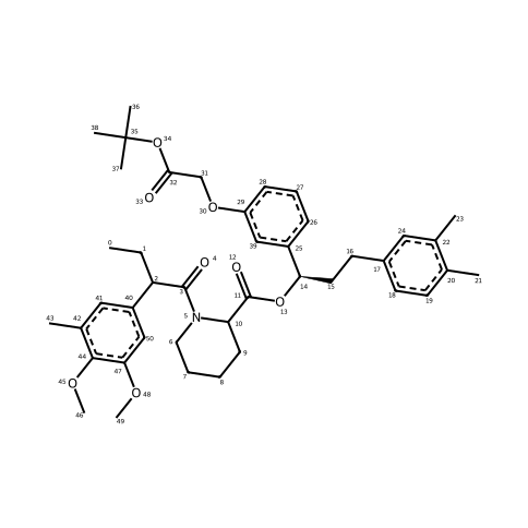 CCC(C(=O)N1CCCCC1C(=O)O[C@H](CCc1ccc(C)c(C)c1)c1cccc(OCC(=O)OC(C)(C)C)c1)c1cc(C)c(OC)c(OC)c1